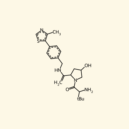 C=C(NCc1ccc(-c2scnc2C)cc1)C1CC(O)CN1C(=O)C(N)C(C)(C)C